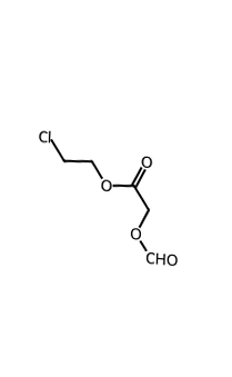 O=COCC(=O)OCCCl